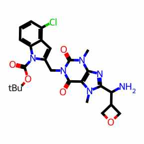 Cn1c(C(N)C2COC2)nc2c1c(=O)n(Cc1cc3c(Cl)cccc3n1C(=O)OC(C)(C)C)c(=O)n2C